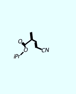 C=C(C=CC#N)C(=O)OC(C)C